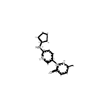 Cc1ccc(=O)n(-c2ccc(NC3CCCC3)nc2)n1